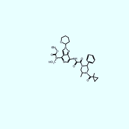 CC1CN(C(=O)C(=O)Nc2cnc(N(C(=O)O)C(=O)OC(C)(C)C)c3cn(C4CCCCO4)nc23)C(c2ccccc2)CN1C(=O)C1(C)CC1